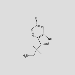 CC(C)(CN)c1c[nH]c2cc(F)cnc12